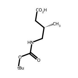 C[C@H](CNC(=O)OC(C)(C)C)CC(=O)O